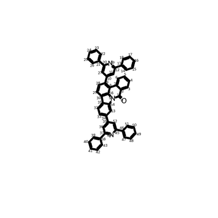 O=c1c2ccccc2c2c(-c3cc(-c4ccccc4)nc(-c4ccccc4)c3)ccc3c4ccc(-c5cc(-c6ccccc6)nc(-c6ccccc6)c5)cc4n1c32